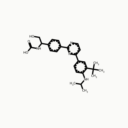 CC(C)Nc1ccc(-c2ccnc(-c3ccc(C(CO)NC(=O)O)cc3)n2)cc1C(C)(C)C